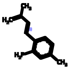 C=C(C)/C=C/c1ccc(C)cc1P